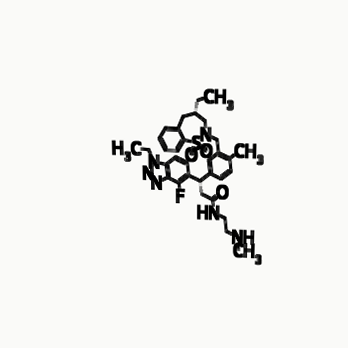 CC[C@H]1Cc2ccccc2S(=O)(=O)N(Cc2cc([C@H](CC(=O)NCCNC)c3ccc4c(nnn4CC)c3F)ccc2C)C1